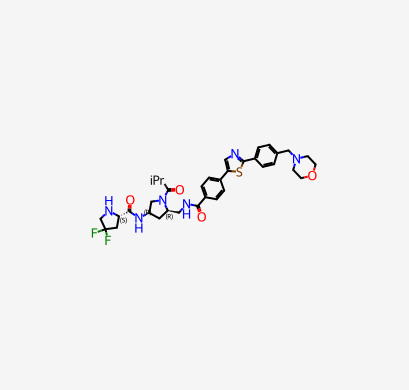 CC(C)C(=O)N1C[C@H](NC(=O)[C@@H]2CC(F)(F)CN2)C[C@@H]1CNC(=O)c1ccc(-c2cnc(-c3ccc(CN4CCOCC4)cc3)s2)cc1